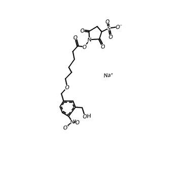 O=C(CCCCCOCc1ccc([N+](=O)[O-])c(CO)c1)ON1C(=O)CC(S(=O)(=O)[O-])C1=O.[Na+]